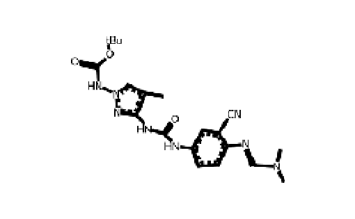 Cc1cn(NC(=O)OC(C)(C)C)nc1NC(=O)Nc1ccc(N=CN(C)C)c(C#N)c1